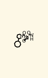 CNC(=O)[C@@H]1CC(=O)N1C(=O)N1CCCC(C2CCCCCCC2)C1